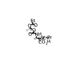 CCC(=O)O[C@@H](C)OC(=O)NC[C@H](SCC(C)C)C(=O)O